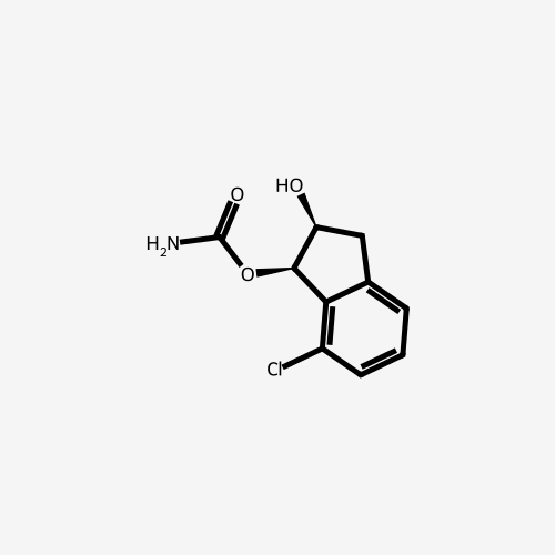 NC(=O)O[C@@H]1c2c(Cl)cccc2C[C@@H]1O